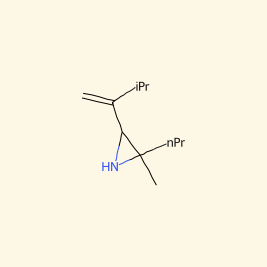 C=C(C(C)C)C1NC1(C)CCC